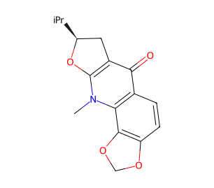 CC(C)[C@H]1Cc2c(n(C)c3c4c(ccc3c2=O)OCO4)O1